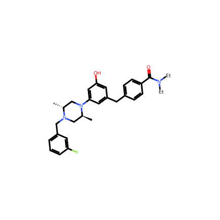 CCN(CC)C(=O)c1ccc(Cc2cc(O)cc(N3C[C@@H](C)N(Cc4cccc(F)c4)C[C@@H]3C)c2)cc1